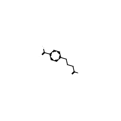 NC(=O)c1ccc(CCCC(=O)O)cc1